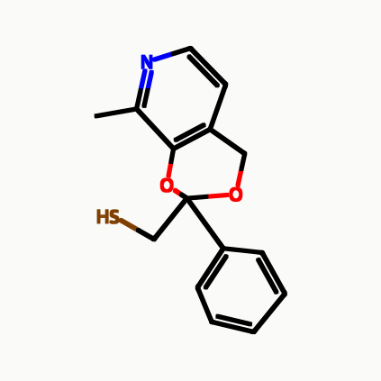 Cc1nccc2c1OC(CS)(c1ccccc1)OC2